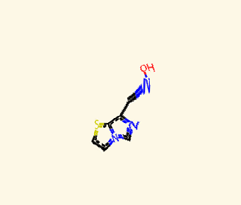 ON=Cc1ncn2ccsc12